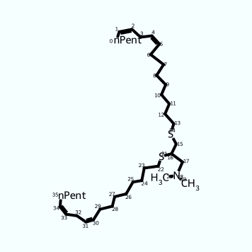 CCCCC/C=C\C/C=C\CCCCCCCCSCC(CN(C)C)SCCCCCCCC/C=C\C/C=C\CCCCC